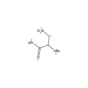 CCCCC(C[N+](=O)[O-])C(=O)CCC